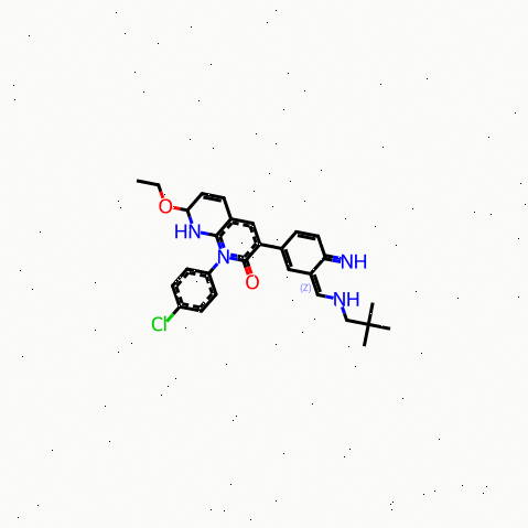 CCOC1C=Cc2cc(C3=C/C(=C/NCC(C)(C)C)C(=N)C=C3)c(=O)n(-c3ccc(Cl)cc3)c2N1